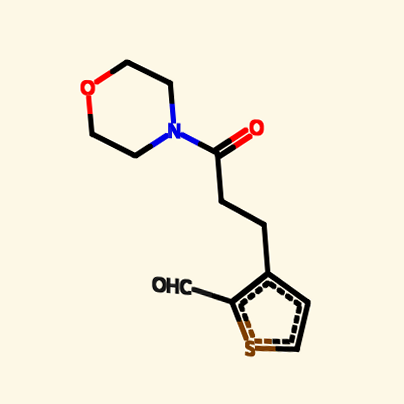 O=Cc1sccc1CCC(=O)N1CCOCC1